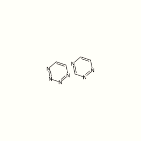 c1cnncn1.c1cnnnn1